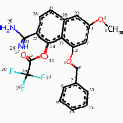 COc1cc(OCc2ccccc2)c2c(OC(=O)C(F)(F)F)c(C(=N)N)ccc2c1